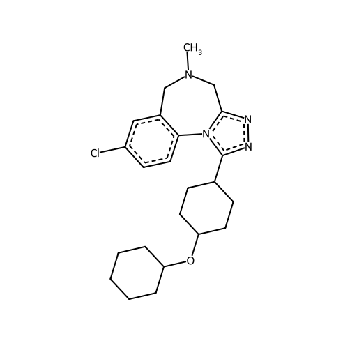 CN1Cc2cc(Cl)ccc2-n2c(nnc2C2CCC(OC3CCCCC3)CC2)C1